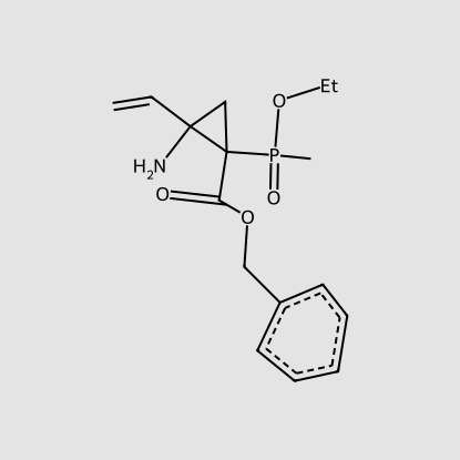 C=CC1(N)CC1(C(=O)OCc1ccccc1)P(C)(=O)OCC